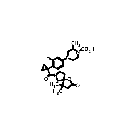 CC1CN(c2ccc(C3(C(=O)N4CCC5(C4)OC(=O)CC5(C)C)CC3)c(F)c2)CCN1C(=O)O